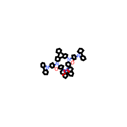 c1ccc2c(c1)c1ccc(N3c4ccc(-n5c6ccccc6c6ccccc65)cc4Oc4cc(-n5c6ccccc6c6ccccc65)ccc43)cc1c1cc(N3c4ccc(-n5c6ccccc6c6ccccc65)cc4Oc4cc(-n5c6ccccc6c6ccccc65)ccc43)ccc21